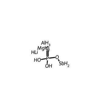 O=P(O)(O)[O][SbH2].[AlH3].[LiH].[MgH2]